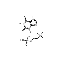 C[N+](C)(C)CCOP(=O)(O)O.Cn1c(=O)c2[nH]cnc2n(C)c1=O